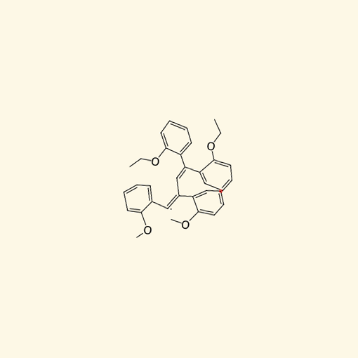 CCOc1ccccc1C(=CC(=[C]c1ccccc1OC)c1ccccc1OC)c1ccccc1OCC